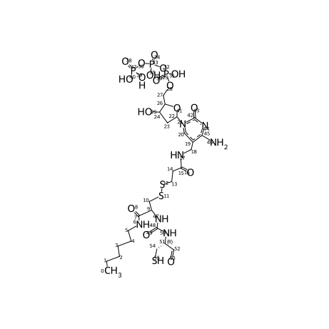 CCCCCCNC(=O)C(CSSCCC(=O)NCc1cn(C2CC(O)C(COP(=O)(O)OP(=O)(O)OP(=O)(O)O)O2)c(=O)nc1N)NC(=O)N[C@H](C=O)CS